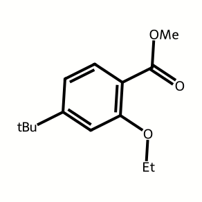 CCOc1cc(C(C)(C)C)ccc1C(=O)OC